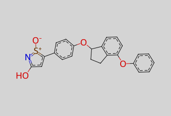 [O-][s+]1nc(O)cc1-c1ccc(OC2CCc3c(Oc4ccccc4)cccc32)cc1